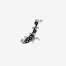 C=C(C)[C@@H]1CCC2(C(=O)NCc3cccc(C(=O)NCCc4ccc(C(=O)O)cc4)c3)CC[C@]3(C)C(CCC4C5(C)CCC(O)C(C)(C)C5CCC43C)C12